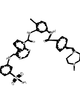 Cc1ccc(NC(=O)c2ccc(CN3CCN(C)CC3)cc2)cc1NC(=O)n1ccc2c(Nc3cccc(S(N)(=O)=O)c3)ncnc21